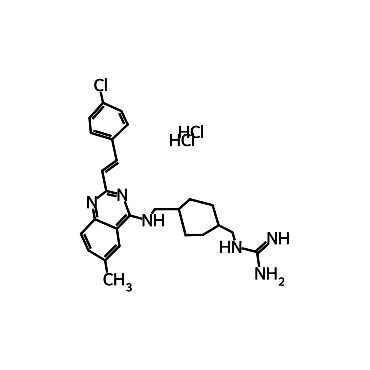 Cc1ccc2nc(C=Cc3ccc(Cl)cc3)nc(NCC3CCC(CNC(=N)N)CC3)c2c1.Cl.Cl